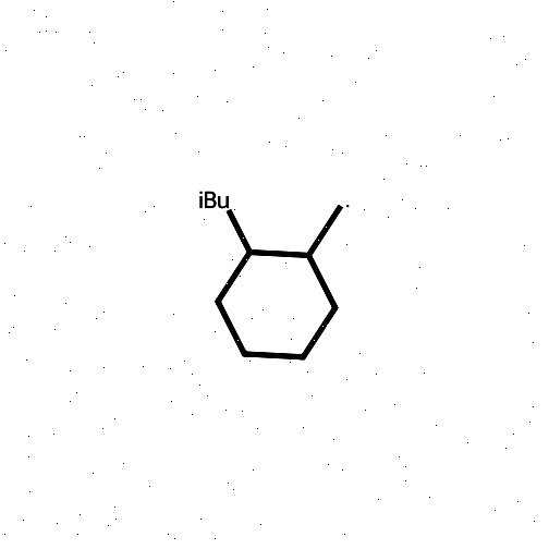 [CH2]C1CCCCC1C(C)CC